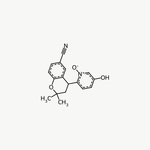 CC1(C)CC(c2ccc(O)c[n+]2[O-])c2cc(C#N)ccc2O1